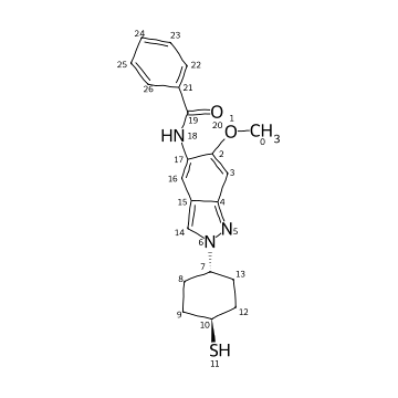 COc1cc2nn([C@H]3CC[C@H](S)CC3)cc2cc1NC(=O)c1ccccc1